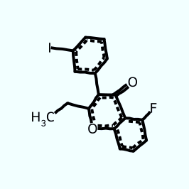 CCc1oc2cccc(F)c2c(=O)c1-c1cccc(I)c1